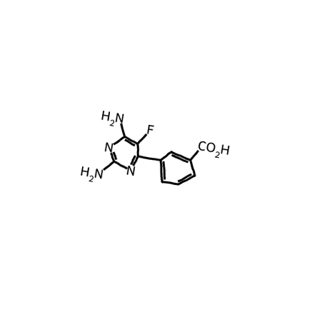 Nc1nc(N)c(F)c(-c2cccc(C(=O)O)c2)n1